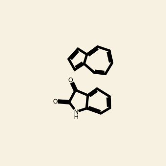 O=C1Nc2ccccc2C1=O.c1ccc2cccc-2cc1